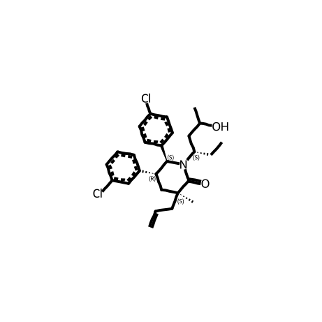 C=CC[C@@]1(C)C[C@H](c2cccc(Cl)c2)[C@@H](c2ccc(Cl)cc2)N([C@@H](CC)CC(C)O)C1=O